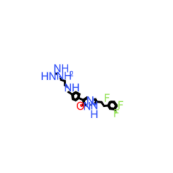 N=C(N)NCCCNCc1ccc(-c2cn3cc(CCc4cc(F)c(F)cc4F)[nH]c3nc2=O)cc1